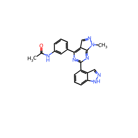 CC(=O)Nc1cccc(-c2nc(-c3cccc4[nH]ncc34)nc3c2cnn3C)c1